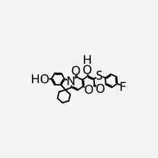 O=c1oc2cc3n(c(=O)c2c(O)c1Sc1ccc(F)cc1)-c1ccc(O)cc1C31CCCCC1